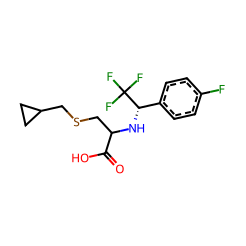 O=C(O)C(CSCC1CC1)N[C@@H](c1ccc(F)cc1)C(F)(F)F